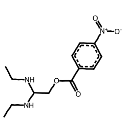 CCNC(COC(=O)c1ccc([N+](=O)[O-])cc1)NCC